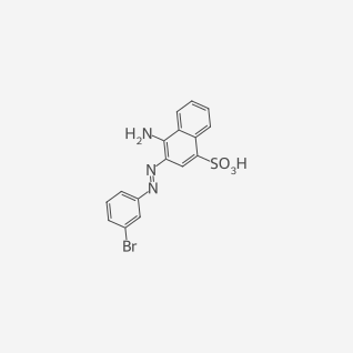 Nc1c(/N=N/c2cccc(Br)c2)cc(S(=O)(=O)O)c2ccccc12